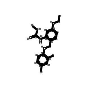 CCOc1ccc(COc2ccc(C)cc2C)c(NC(=O)SC)c1